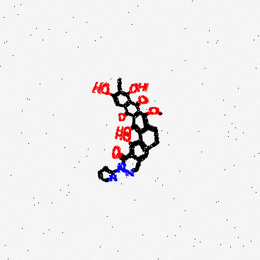 COc1c2c(c(O)c3c1C(=O)c1c(cc(O)c(C)c1O)C3=O)-c1c(cc3cnn(-c4ccccn4)c(=O)c3c1O)CC2